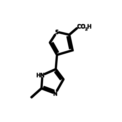 Cc1ncc(-c2csc(C(=O)O)c2)[nH]1